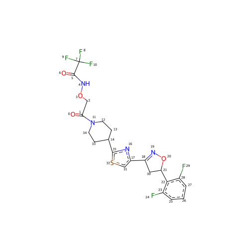 O=C(CONC(=O)C(F)(F)F)N1CCC(c2nc(C3=NOC(c4c(F)cccc4F)C3)cs2)CC1